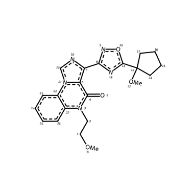 COCCn1c(=O)c2c(-c3noc(C4(OC)CCCC4)n3)ncn2c2ccccc21